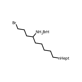 Br.CCCCCCCCCCCCC(N)CCCBr